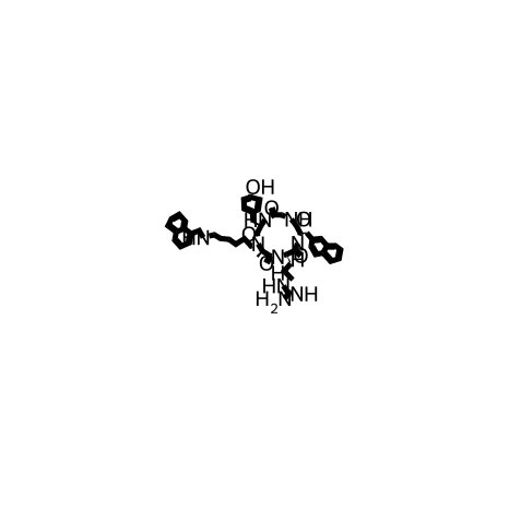 C[C@@H]1C(=O)N[C@@H](CCCNC(=N)N)C(=O)N[C@@H](Cc2ccc3ccccc3c2)C(=O)NCC(=O)N[C@H](Cc2ccc(O)cc2)C(=O)N1CCCCCCNCc1cccc2ccccc12